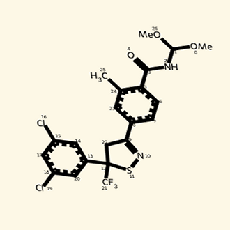 COC(NC(=O)c1ccc(C2=NSC(c3cc(Cl)cc(Cl)c3)(C(F)(F)F)C2)cc1C)OC